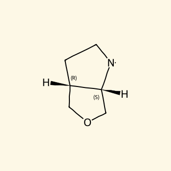 C1C[C@H]2COC[C@H]2[N]1